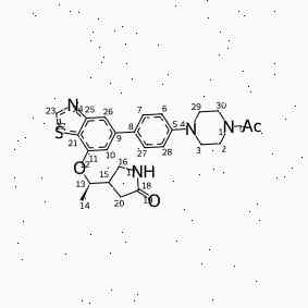 CC(=O)N1CCN(c2ccc(-c3cc(O[C@H](C)C4CNC(=O)C4)c4scnc4c3)cc2)CC1